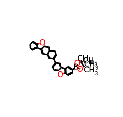 CC1(C)OB(c2ccc3oc4ccc(-c5ccc6cc7oc8ccccc8c7cc6c5)cc4c3c2)OC1(C)C